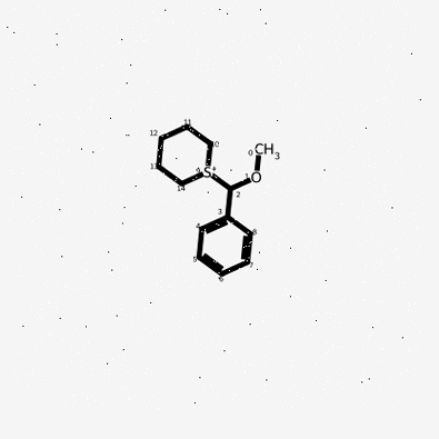 COC(c1ccccc1)[S+]1CCCCC1